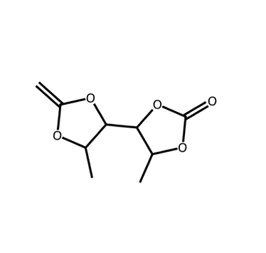 C=C1OC(C)C(C2OC(=O)OC2C)O1